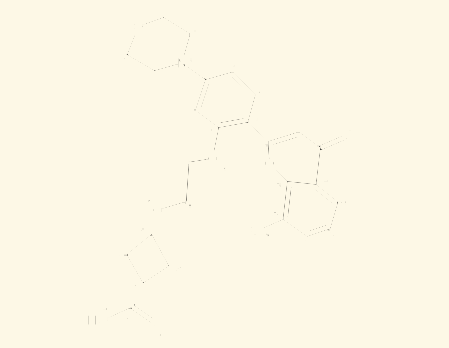 O=c1cc(-c2ccc(N3CCOCC3)cc2OCCO[C@H]2C[C@@H](C(=O)O)C2)oc2c(Cl)cccc12